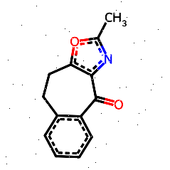 Cc1nc2c(o1)CCc1ccccc1C2=O